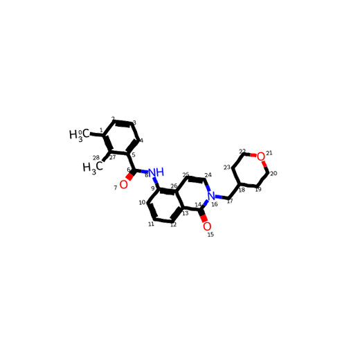 Cc1cccc(C(=O)Nc2cccc3c(=O)n(CC4CCOCC4)ccc23)c1C